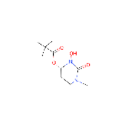 CN1CCC(OC(=O)C(C)(C)C)N(O)C1=O